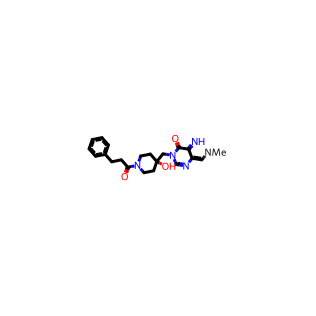 CN/C=C1/N=CN(CC2(O)CCN(C(=O)CCc3ccccc3)CC2)C(=O)C1=N